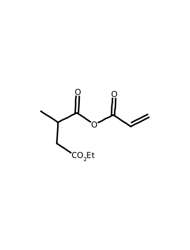 C=CC(=O)OC(=O)C(C)CC(=O)OCC